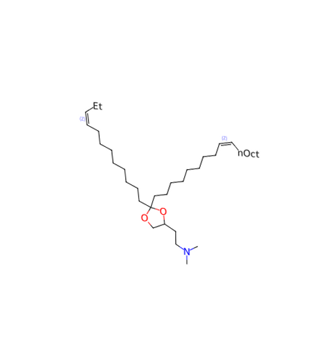 CC/C=C\CCCCCCCCC1(CCCCCCCC/C=C\CCCCCCCC)OCC(CCN(C)C)O1